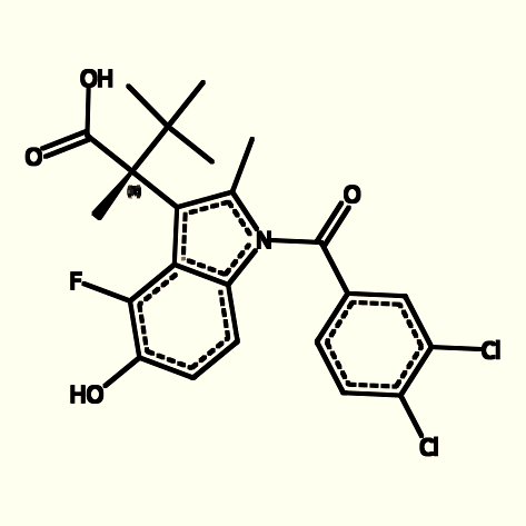 Cc1c([C@](C)(C(=O)O)C(C)(C)C)c2c(F)c(O)ccc2n1C(=O)c1ccc(Cl)c(Cl)c1